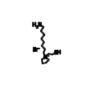 NCCCCCCCC[N+]1(CCS)CCCC1.[Br-]